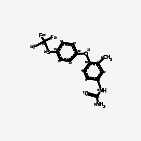 Cc1cc(NC(N)=O)ccc1Oc1ccc(SC(F)(F)F)cc1